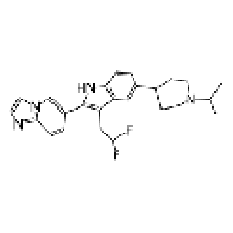 CC(C)N1CCC(c2ccc3[nH]c(-c4ccc5nccn5c4)c(CC(F)F)c3c2)CC1